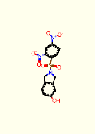 O=[N+]([O-])c1ccc(S(=O)(=O)N2Cc3ccc(O)cc3C2)c([N+](=O)[O-])c1